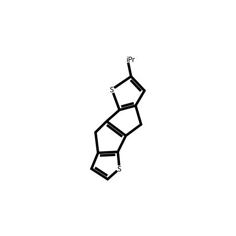 CC(C)c1cc2c(s1)C1=C(C2)c2sccc2C1